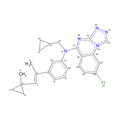 C/C(=C\C1(C)CC1)c1cccc(N(CC2CC2)c2nc3nncn3c3cc(Cl)ccc23)c1